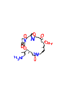 CC1=C\[C@@H](O)CC(=O)Cc2nc(co2)C(=O)N2CCC[C@@H]2C(=O)O[C@H](C(C)CN)[C@H](C)/C=C/C(=O)NC\C=C\1